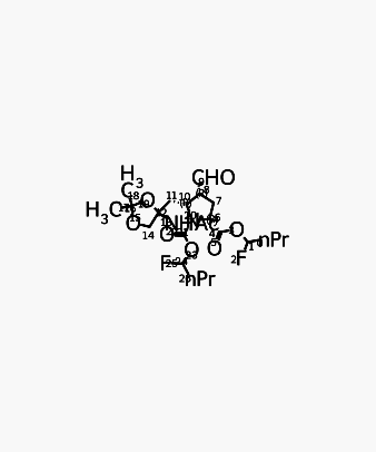 CCCC(F)OC(=O)[C@H]1C[C@@H](C=O)[C@@H](CC2(NC(C)=O)COC(C)(C)O2)N1C(=O)OC(F)CCC